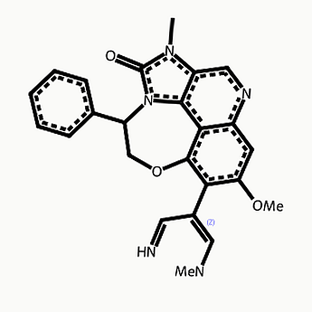 CN/C=C(\C=N)c1c(OC)cc2ncc3c4c2c1OCC(c1ccccc1)n4c(=O)n3C